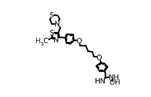 Cc1nc(-c2ccc(OCCCCCOc3ccc(C(=N)NO)cc3)cc2)c(CN2CCSCC2)s1